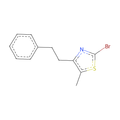 Cc1sc(Br)nc1CCc1ccccc1